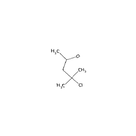 CC([O])CC(C)(C)Cl